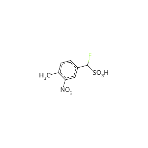 Cc1ccc(C(F)S(=O)(=O)O)cc1[N+](=O)[O-]